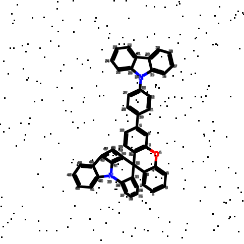 c1ccc2c(c1)Oc1cc(-c3ccc(-n4c5ccccc5c5ccccc54)cc3)ccc1C21c2ccccc2-n2c3ccccc3c3cccc1c32